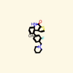 COc1ccc2[nH]c(=O)c3sccc3c2c1-c1ccc(CN2CC[CH]CC2)c(F)c1